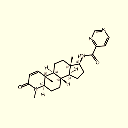 CN1C(=O)C=C[C@]2(C)[C@H]3CC[C@]4(C)[C@@H](NC(=O)c5ccncn5)CC[C@H]4[C@@H]3CC[C@@H]12